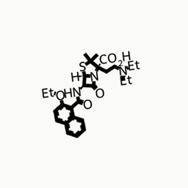 CCOc1ccc2ccccc2c1C(=O)N[C@@H]1C(=O)N2[C@@H]1SC(C)(C)[C@]2(CCN(CC)CC)C(=O)O